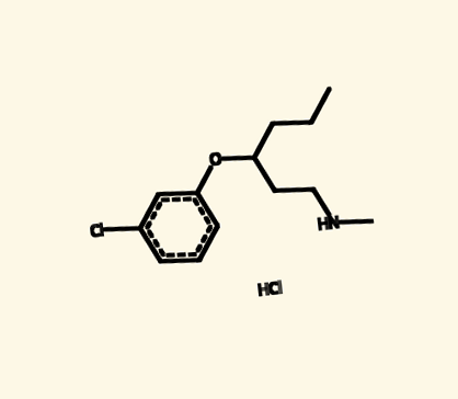 CCCC(CCNC)Oc1cccc(Cl)c1.Cl